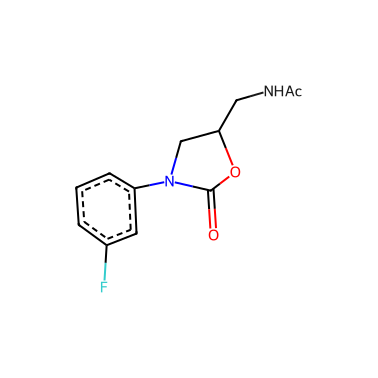 CC(=O)NCC1CN(c2cccc(F)c2)C(=O)O1